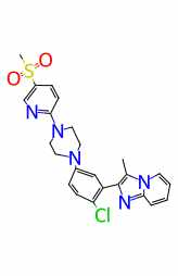 Cc1c(-c2cc(N3CCN(c4ccc(S(C)(=O)=O)cn4)CC3)ccc2Cl)nc2ccccn12